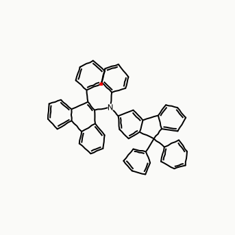 c1ccc(-c2c(N(c3ccccc3)c3ccc4c(c3)-c3ccccc3C4(c3ccccc3)c3ccccc3)c3ccccc3c3ccccc23)cc1